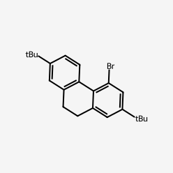 CC(C)(C)c1ccc2c(c1)CCc1cc(C(C)(C)C)cc(Br)c1-2